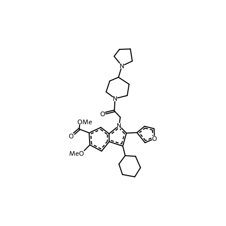 COC(=O)c1cc2c(cc1OC)c(C1CCCCC1)c(-c1ccoc1)n2CC(=O)N1CCC(N2CCCC2)CC1